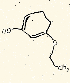 CCOC1=CC(O)=CC[CH]1